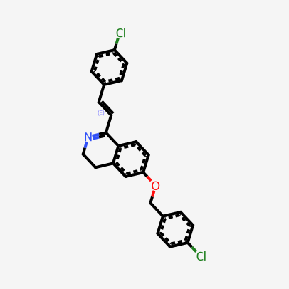 Clc1ccc(/C=C/C2=NCCc3cc(OCc4ccc(Cl)cc4)ccc32)cc1